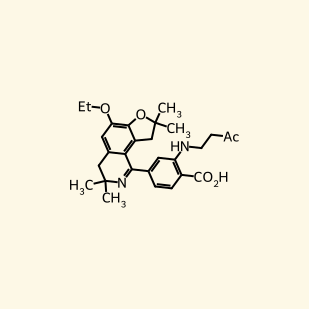 CCOc1cc2c(c3c1OC(C)(C)C3)C(c1ccc(C(=O)O)c(NCCC(C)=O)c1)=NC(C)(C)C2